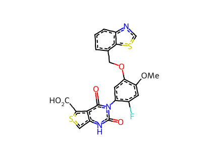 COc1cc(F)c(-n2c(=O)[nH]c3csc(C(=O)O)c3c2=O)cc1OCc1cccc2ncsc12